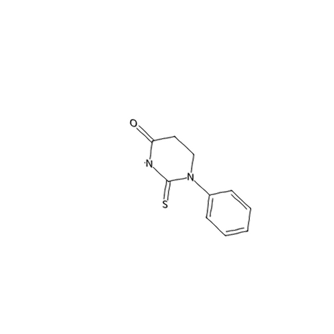 O=C1CCN(c2ccccc2)C(=S)[N]1